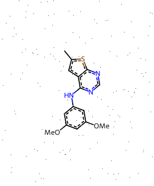 COc1cc(Nc2ncnc3sc(C)cc23)cc(OC)c1